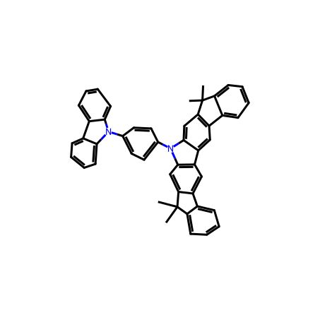 CC1(C)c2ccccc2-c2cc3c4cc5c(cc4n(-c4ccc(-n6c7ccccc7c7ccccc76)cc4)c3cc21)C(C)(C)c1ccccc1-5